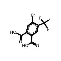 O=C(O)c1cc(Br)c(C(F)(F)F)cc1C(=O)O